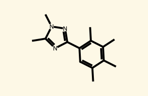 Cc1cc(-c2nc(C)n(C)n2)c(C)c(C)c1C